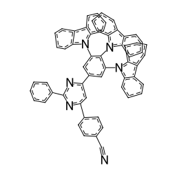 N#Cc1ccc(-c2cc(-c3cc(-n4c5ccccc5c5ccccc54)c(-n4c5ccccc5c5ccccc54)c(-n4c5ccccc5c5ccccc54)c3)nc(-c3ccccc3)n2)cc1